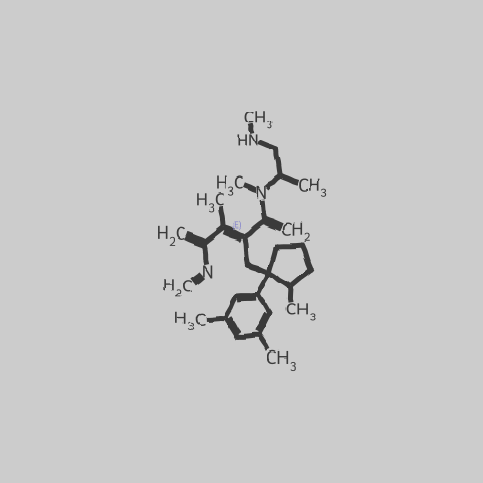 C=NC(=C)/C(C)=C(\CC1(c2cc(C)cc(C)c2)CCCC1C)C(=C)N(C)C(C)CNC